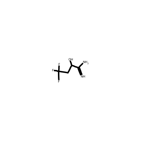 N=C(N)C(O)CC(F)(F)F